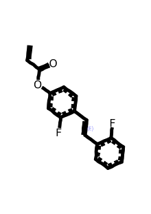 C=CC(=O)Oc1ccc(/C=C/c2ccccc2F)c(F)c1